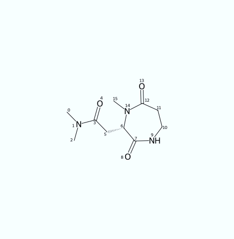 CN(C)C(=O)C[C@H]1C(=O)NCCC(=O)N1C